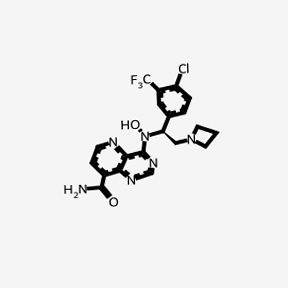 NC(=O)c1ccnc2c(N(O)[C@H](CN3CCC3)c3ccc(Cl)c(C(F)(F)F)c3)ncnc12